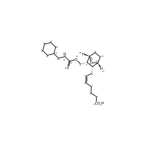 O=C(O)CCC/C=C\C[C@@H]1[C@H](COC(=S)NCC2CCCCC2)[C@@H]2CC[C@H]1O2